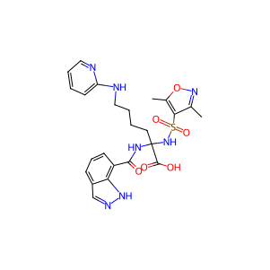 Cc1noc(C)c1S(=O)(=O)NC(CCCCNc1ccccn1)(NC(=O)c1cccc2cn[nH]c12)C(=O)O